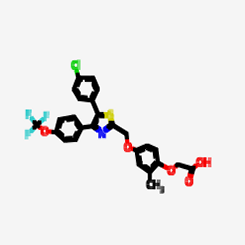 Cc1cc(OCc2nc(-c3ccc(OC(F)(F)F)cc3)c(-c3ccc(Cl)cc3)s2)ccc1OCC(=O)O